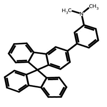 CN(C)c1cccc(-c2ccc3c(c2)-c2ccccc2C32c3ccccc3-c3ccccc32)c1